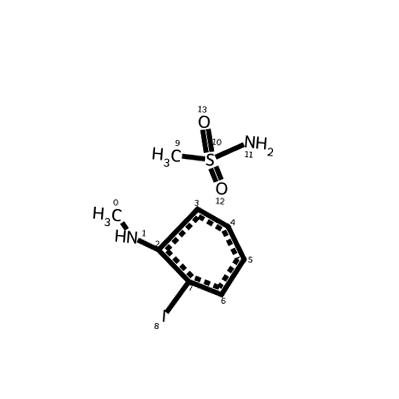 CNc1ccccc1I.CS(N)(=O)=O